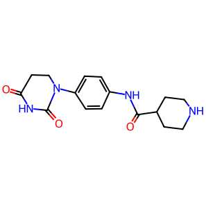 O=C1CCN(c2ccc(NC(=O)C3CCNCC3)cc2)C(=O)N1